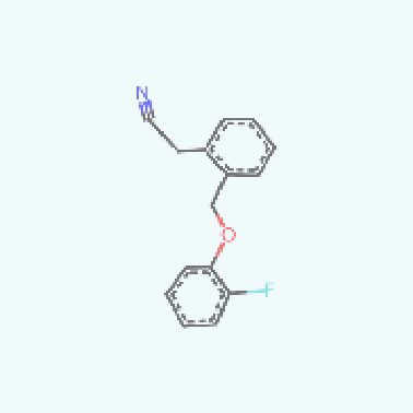 N#CCc1ccccc1COc1ccccc1F